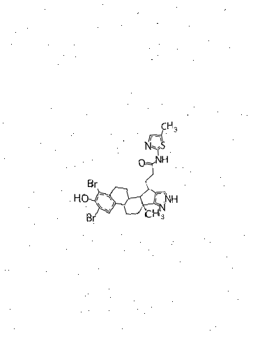 Cc1cnc(NC(=O)CCC2c3c[nH]nc3C3(C)CCC4c5cc(Br)c(O)c(Br)c5CCC4C23)s1